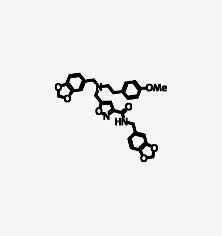 COc1ccc(CCN(Cc2ccc3c(c2)OCO3)Cc2cc(C(=O)NCc3ccc4c(c3)OCO4)no2)cc1